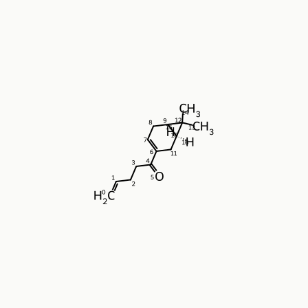 C=CCCC(=O)C1=CC[C@@H]2[C@H](C1)C2(C)C